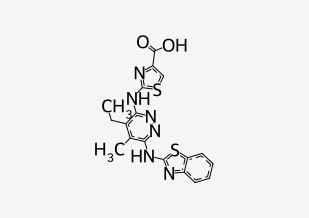 CCc1c(Nc2nc(C(=O)O)cs2)nnc(Nc2nc3ccccc3s2)c1C